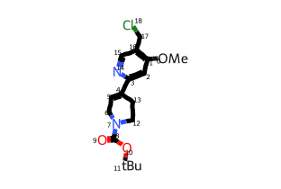 COc1cc(C2=CCN(C(=O)OC(C)(C)C)CC2)ncc1CCl